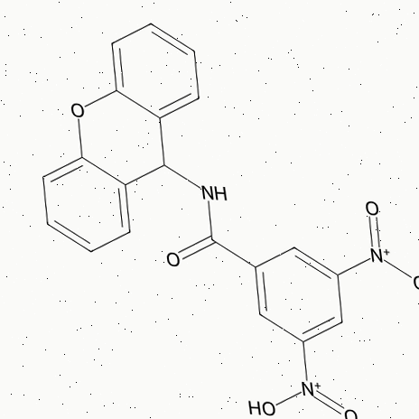 O=C(NC1c2ccccc2Oc2ccccc21)c1cc([N+](=O)O)cc([N+](=O)O)c1